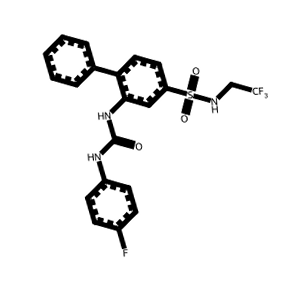 O=C(Nc1ccc(F)cc1)Nc1cc(S(=O)(=O)NCC(F)(F)F)ccc1-c1ccccc1